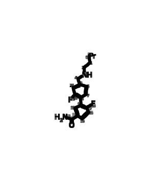 CC(C)CCNCc1ccc(-c2cc(C(N)=O)ccc2F)c(F)c1